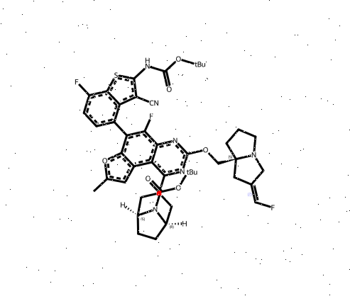 Cc1cc2c(o1)c(-c1ccc(F)c3sc(NC(=O)OC(C)(C)C)c(C#N)c13)c(F)c1nc(OC[C@@]34CCCN3C/C(=C\F)C4)nc(N3C[C@H]4CC[C@@H](C3)N4C(=O)OC(C)(C)C)c12